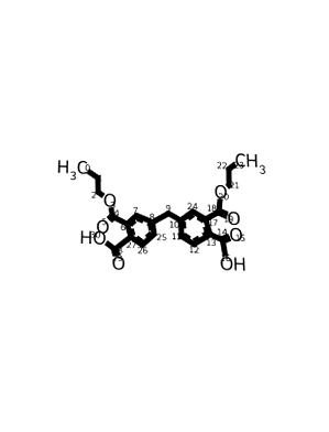 CCCOC(=O)c1cc(Cc2ccc(C(=O)O)c(C(=O)OCCC)c2)ccc1C(=O)O